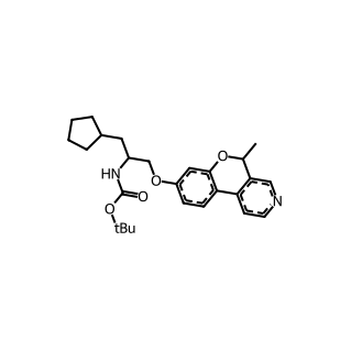 CC1Oc2cc(OCC(CC3CCCC3)NC(=O)OC(C)(C)C)ccc2-c2ccncc21